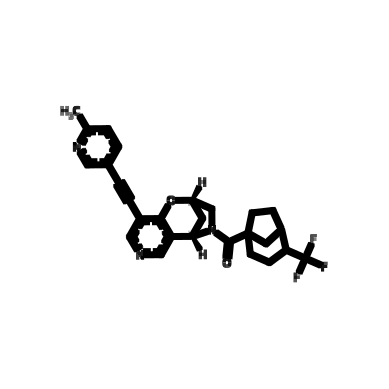 Cc1ccc(C#Cc2cncc3c2O[C@H]2C[C@@H]3N(C(=O)C34CCC(C3)C(C(F)(F)F)CC4)C2)cn1